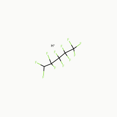 F[C](F)C(F)(F)C(F)(F)C(F)(F)C(F)(F)F.[H+]